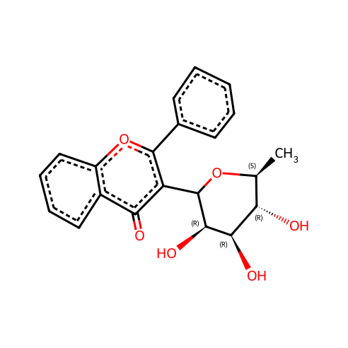 C[C@@H]1OC(c2c(-c3ccccc3)oc3ccccc3c2=O)[C@H](O)[C@H](O)[C@H]1O